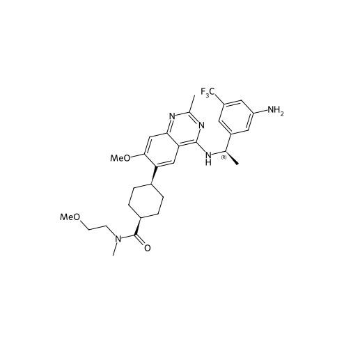 COCCN(C)C(=O)[C@H]1CC[C@@H](c2cc3c(N[C@H](C)c4cc(N)cc(C(F)(F)F)c4)nc(C)nc3cc2OC)CC1